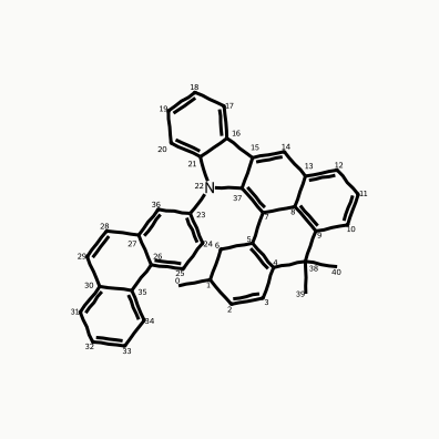 CC1C=CC2=C(C1)c1c3c(cccc3cc3c4ccccc4n(-c4ccc5c(ccc6ccccc65)c4)c13)C2(C)C